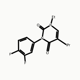 CCn1cc(C(C)C)c(=O)n(-c2ccc(F)c(F)c2)c1=O